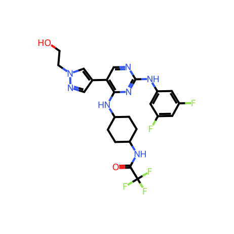 O=C(NC1CCC(Nc2nc(Nc3cc(F)cc(F)c3)ncc2-c2cnn(CCO)c2)CC1)C(F)(F)F